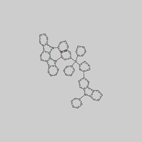 c1ccc(-n2c3ccccc3c3cc(-c4cccc([Si](c5ccccc5)(c5ccccc5)c5cccc(-n6c7ccccc7c7ccc8c9ccccc9n(-c9ccccc9)c8c76)c5)c4)ccc32)cc1